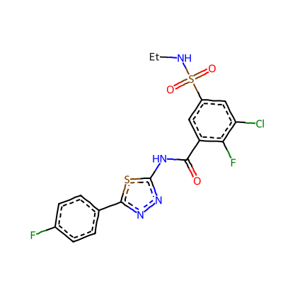 CCNS(=O)(=O)c1cc(Cl)c(F)c(C(=O)Nc2nnc(-c3ccc(F)cc3)s2)c1